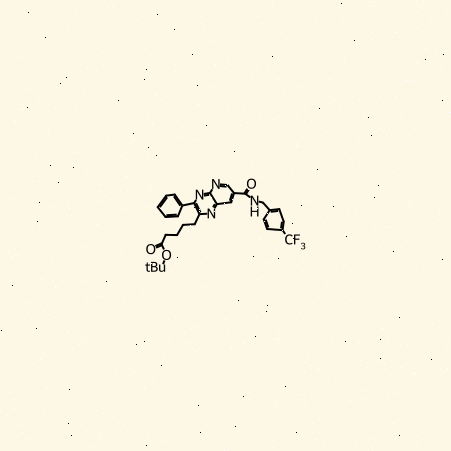 CC(C)(C)OC(=O)CCCCc1nc2cc(C(=O)NCc3ccc(C(F)(F)F)cc3)cnc2nc1-c1ccccc1